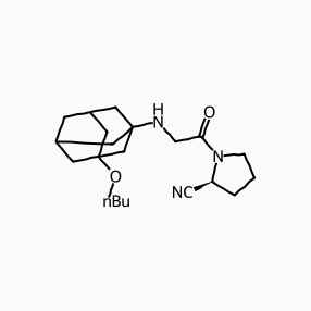 CCCCOC12CC3CC(CC(NCC(=O)N4CCC[C@H]4C#N)(C3)C1)C2